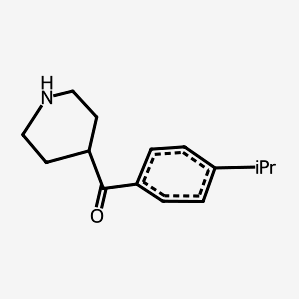 CC(C)c1ccc(C(=O)C2CCNCC2)cc1